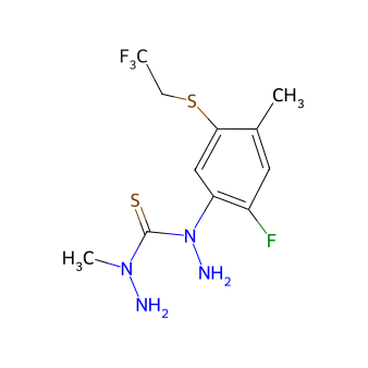 Cc1cc(F)c(N(N)C(=S)N(C)N)cc1SCC(F)(F)F